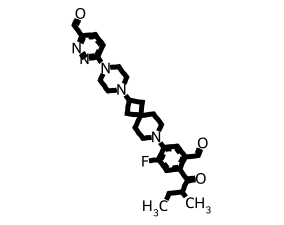 CCC(C)C(=O)c1cc(F)c(N2CCC3(CC2)CC(N2CCN(c4ccc(C=O)nn4)CC2)C3)cc1C=O